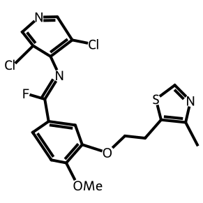 COc1ccc(C(F)=Nc2c(Cl)cncc2Cl)cc1OCCc1scnc1C